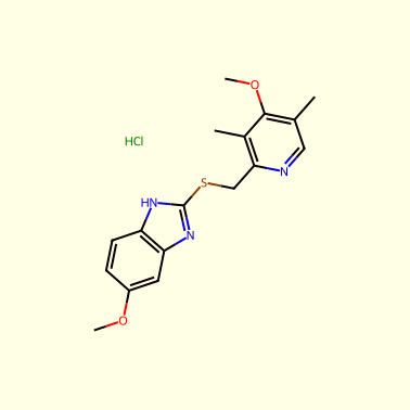 COc1ccc2[nH]c(SCc3ncc(C)c(OC)c3C)nc2c1.Cl